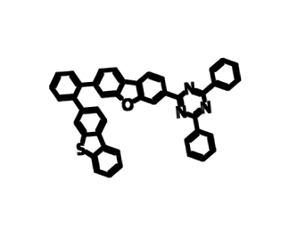 c1ccc(-c2nc(-c3ccccc3)nc(-c3ccc4c(c3)oc3cc(-c5ccccc5-c5ccc6c(c5)sc5ccccc56)ccc34)n2)cc1